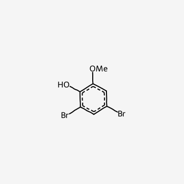 COc1cc(Br)cc(Br)c1O